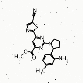 COC(=O)c1cc(-c2ncc(C#N)s2)nc(N2CCCC2c2ccc(C)cc2N)n1